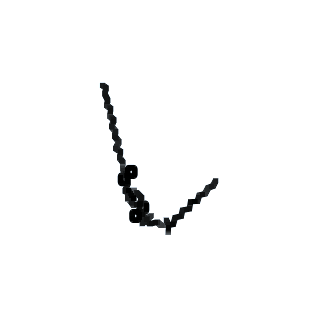 CCCCCCCCCCCCCCCCCC(=O)OCCN1CCC(OC(=O)C(C)(C)CCCC(C)(C)CCCCCCCCCCCC)CC1